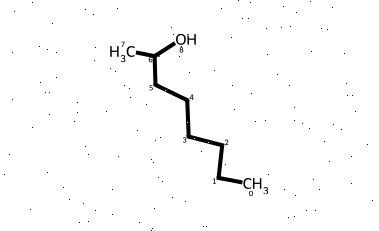 CCCCCC[C](C)O